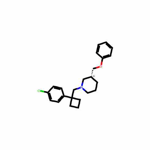 Clc1ccc(C2(CN3CCC[C@@H](COc4ccccc4)C3)CCC2)cc1